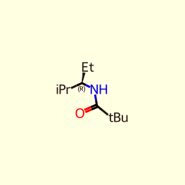 CC[C@@H](NC(=O)C(C)(C)C)C(C)C